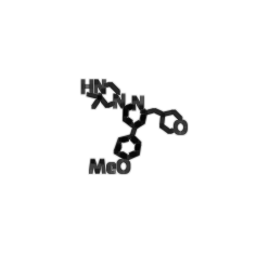 COc1ccc(-c2cc(CC3CCOCC3)nc(N3CCNC(C)(C)C3)c2)cc1